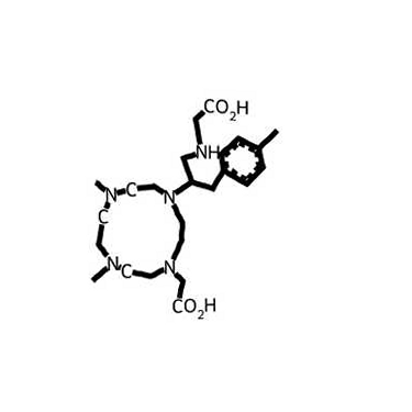 Cc1ccc(CC(CNCC(=O)O)N2CCN(C)CCN(C)CCN(CC(=O)O)CC2)cc1